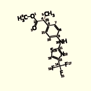 COC(=O)[C@H](C)c1ccc(Nc2nc(C(F)(F)F)cs2)cc1